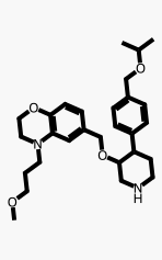 COCCCN1CCOc2ccc(COC3CNCCC3c3ccc(COC(C)C)cc3)cc21